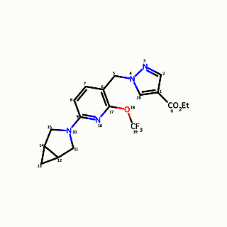 CCOC(=O)c1cnn(Cc2ccc(N3CC4CC4C3)nc2OC(F)(F)F)c1